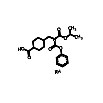 CC(C)OC(=O)N(CC1CCC(C(=O)O)CC1)C(=O)Oc1ccccc1.[KH]